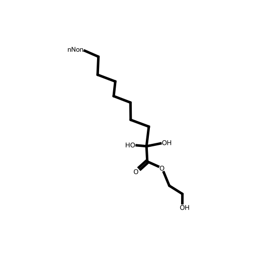 CCCCCCCCCCCCCCCCC(O)(O)C(=O)OCCO